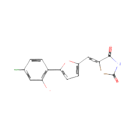 O=C1NC(=O)C(=Cc2ccc(-c3ccc(F)cc3O)o2)S1